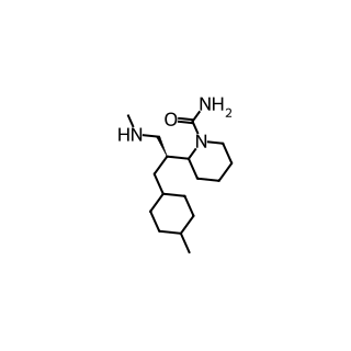 CNC[C@H](CC1CCC(C)CC1)C1CCCCN1C(N)=O